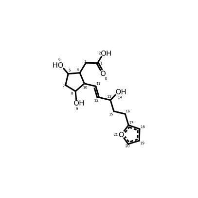 O=C(O)CC1C(O)CC(O)C1C=CC(O)CCc1ccco1